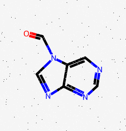 O=Cn1cnc2ncncc21